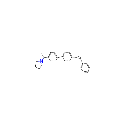 CC(c1ccc(-c2ccc(C3CC3c3ccccc3)cc2)cc1)N1CCCC1